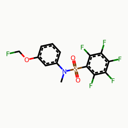 CN(c1cccc(OCF)c1)S(=O)(=O)c1c(F)c(F)c(F)c(F)c1F